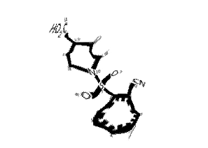 N#Cc1ccccc1S(=O)(=O)N1CCC(C(=O)O)CC1